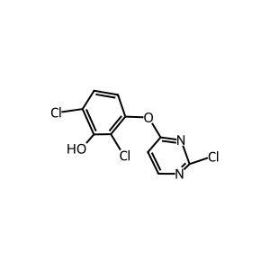 Oc1c(Cl)ccc(Oc2ccnc(Cl)n2)c1Cl